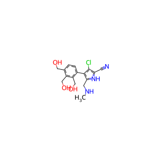 CNCc1[nH]c(C#N)c(Cl)c1-c1ccc(CO)c(CO)c1CO